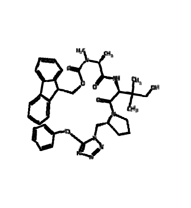 C[C@@H](C(=O)N[C@H](C(=O)N1CCC[C@H]1Cn1nnnc1Oc1ccccc1)C(C)(C)CO)N(C)C(=O)OCC1c2ccccc2-c2ccccc21